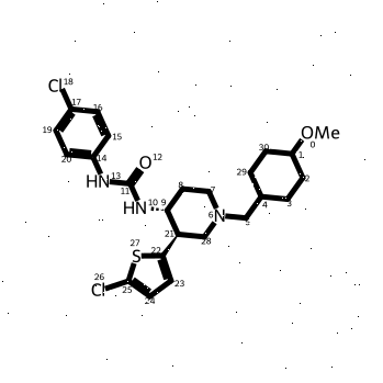 COC1CCC(CN2CC[C@@H](NC(=O)Nc3ccc(Cl)cc3)[C@H](c3ccc(Cl)s3)C2)CC1